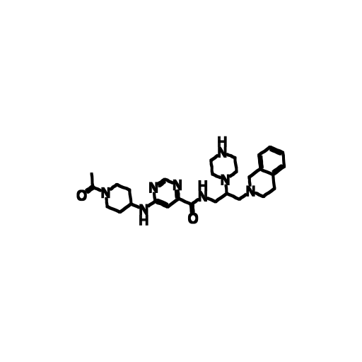 CC(=O)N1CCC(Nc2cc(C(=O)NCC(CN3CCc4ccccc4C3)N3CCNCC3)ncn2)CC1